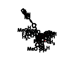 COC(=O)N[C@H](C(=O)N[C@@H](Cc1ccc(C#Cc2cnc(N3CC4CCC(C3)N4C3COC3)nc2)cc1)[C@H](CN(Cc1c(F)cc(-c2ccn(C(F)F)n2)cc1F)NC(=O)[C@@H](NC(=O)OC)C(C)(C)C(F)(F)F)OC(=O)CC(C)(C)c1c(CC(=O)Nc2ccc(OC)c(S(=O)(=O)O)c2)cc(C)cc1OP(=O)(O)O)C(C)(C)C(F)(F)F